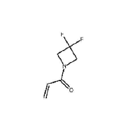 C=CC(=O)N1CC(F)(F)C1